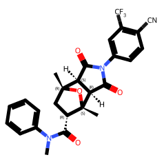 CN(C(=O)[C@@H]1C[C@@]2(C)O[C@]1(C)[C@@H]1C(=O)N(c3ccc(C#N)c(C(F)(F)F)c3)C(=O)[C@@H]12)c1ccccc1